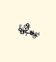 C=CC(=O)Nc1ccc(C#CCN(C(=O)Cc2ccccc2C(F)(F)F)C2=CCC(F)(c3ccccc3C(F)(F)F)C=C2)nn1